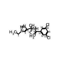 CCn1cc(C(C)(C)NC(=O)c2cc(Cl)cc(Cl)c2)nn1